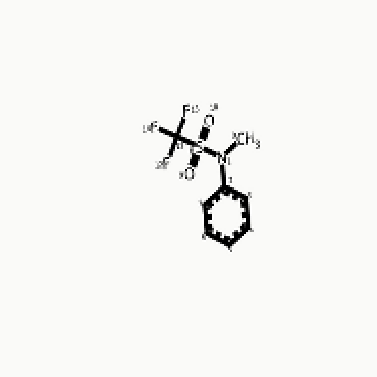 CN(c1ccccc1)S(=O)(=O)C(F)(F)F